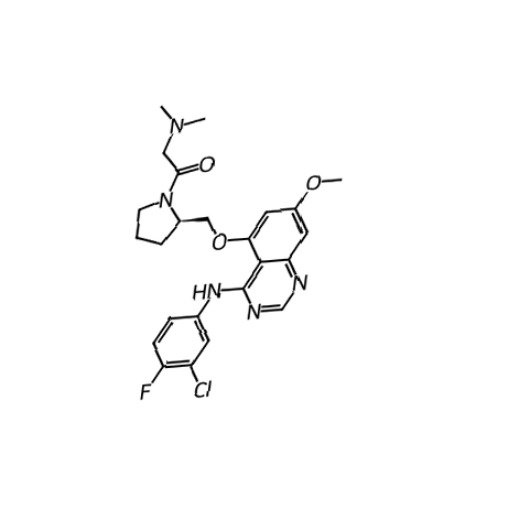 COc1cc(OC[C@H]2CCCN2C(=O)CN(C)C)c2c(Nc3ccc(F)c(Cl)c3)ncnc2c1